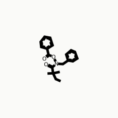 CCC(C)(C)C(=O)N(Cc1ccccc1)OC(=O)c1ccccc1